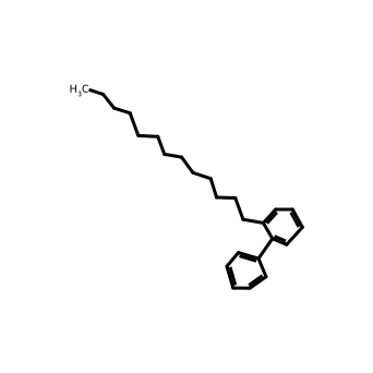 CCCCCCCCCCCCCc1ccccc1-c1ccccc1